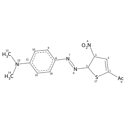 CC(=O)C1=CC([N+](=O)[O-])C(N=Nc2ccc(N(C)C)cc2)S1